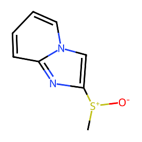 C[S+]([O-])c1cn2ccccc2n1